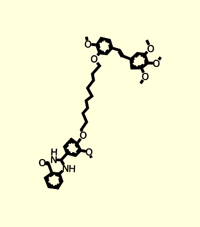 COc1cc(C2NC(=O)c3ccccc3N2)ccc1OCCCCCCCCCCOc1cc(C=Cc2cc(OC)c(OC)c(OC)c2)ccc1OC